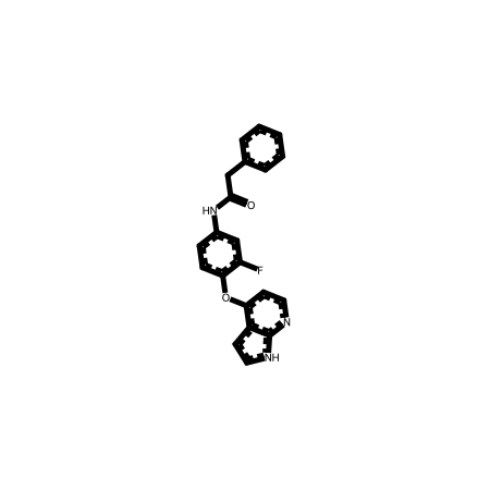 O=C(Cc1ccccc1)Nc1ccc(Oc2ccnc3[nH]ccc23)c(F)c1